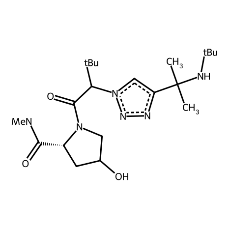 CNC(=O)[C@H]1CC(O)CN1C(=O)C(n1cc(C(C)(C)NC(C)(C)C)nn1)C(C)(C)C